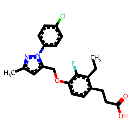 CCc1c(CCC(=O)O)ccc(OCc2cc(C)nn2-c2ccc(Cl)cc2)c1F